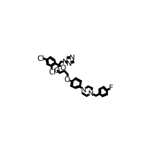 Fc1ccc(CN2CCN(c3ccc(OCC4COC(Cn5cncn5)(c5ccc(Cl)cc5Cl)O4)cc3)CC2)cc1